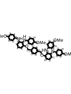 COc1ccc(Nc2cccc(OCc3ccc(COc4cccc(Nc5ccc(OC)cc5)c4Nc4ccc(OC)cc4)cc3)c2Nc2ccc(OC)cc2)cc1